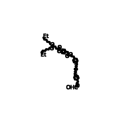 CC/C=C\CCCCOC(CCC(=O)Oc1ccc(CC(=O)OCCC2CCN(CCSSCCN3CCC(CCOC=O)CC3)CC2)cc1)OCCCC/C=C\CC